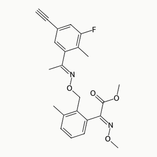 C#Cc1cc(F)c(C)c(/C(C)=N/OCc2c(C)cccc2/C(=N\OC)C(=O)OC)c1